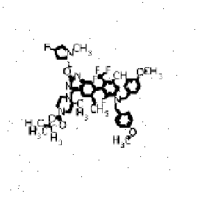 CCC1Cc2c(nc(OC[C@@H]3C[C@@H](F)CN3C)nc2N2CCN(C(=O)OC(C)(C)C)C[C@@H]2C)CC1c1c(F)c(N(Cc2ccc(OC)cc2)Cc2ccc(OC)cc2)cc(C)c1C(F)(F)F